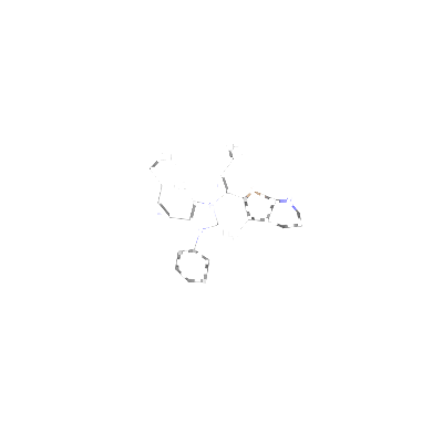 C=C/C=C(\c1sc2ncccc2c1C)N1CN(c2ccccc2)C(/C=C\CC=C)=C1C